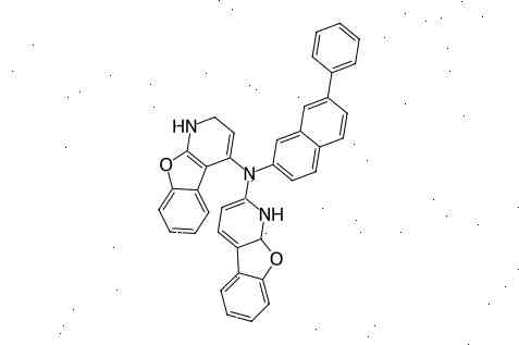 C1=C2c3ccccc3OC2NC(N(C2=CCNc3oc4ccccc4c32)c2ccc3ccc(-c4ccccc4)cc3c2)=C1